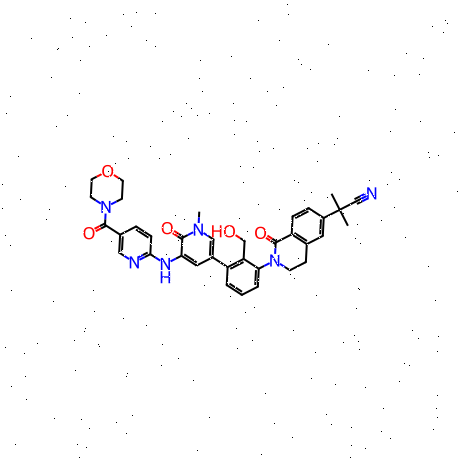 Cn1cc(-c2cccc(N3CCc4cc(C(C)(C)C#N)ccc4C3=O)c2CO)cc(Nc2ccc(C(=O)N3CCOCC3)cn2)c1=O